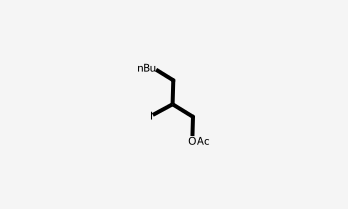 CCCCCC(I)COC(C)=O